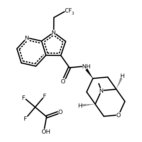 CN1[C@@H]2COC[C@H]1C[C@@H](NC(=O)c1cn(CC(F)(F)F)c3ncccc13)C2.O=C(O)C(F)(F)F